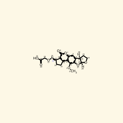 COc1c2c(cc3oc(=O)c4c(c13)CC/C4=N\OCC(=O)O)[C@@H]1CCO[C@@H]1O2